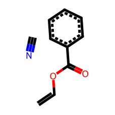 C#N.C=COC(=O)c1ccccc1